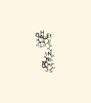 CCc1cc(CCCN2CCN(c3noc4ccccc34)CC2)cc2c1NC(=O)CC2(C)C